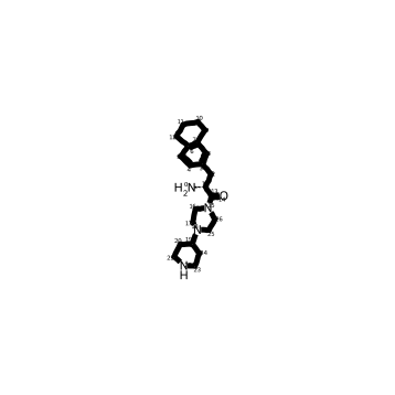 N[C@H](Cc1ccc2c(c1)CCCC2)C(=O)N1CCN(C2CCNCC2)CC1